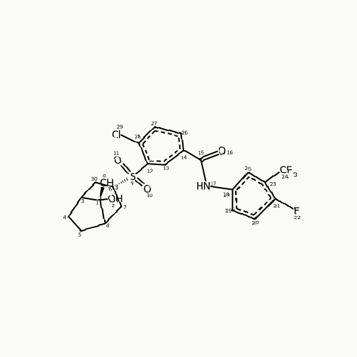 C[C@]1(O)C2CCC1C[C@@H](S(=O)(=O)c1cc(C(=O)Nc3ccc(F)c(C(F)(F)F)c3)ccc1Cl)C2